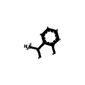 BC(C)c1ccccc1C